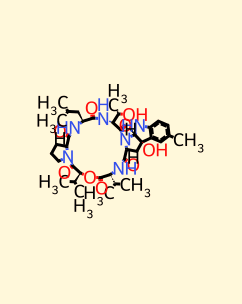 Cc1ccc2c(c1)[C@]1(O)C[C@H]3C(=O)N[C@H](C(C)C)C(=O)O[C@@H](C(C)C)C(=O)N4CCC[C@@H]4C(=O)N[C@@H](CC(C)C)C(=O)N[C@H]([C@H](C)O)C(=O)N3[C@@H]1N2